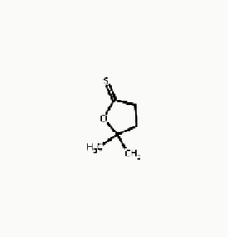 CC1(C)CCC(=S)O1